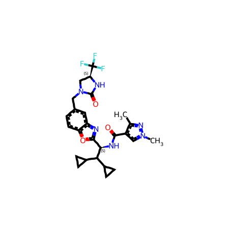 Cc1nn(C)cc1C(=O)N[C@H](c1nc2cc(CN3C[C@@H](C(F)(F)F)NC3=O)ccc2o1)C(C1CC1)C1CC1